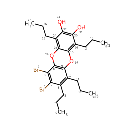 CCCc1c(Br)c(Br)c2c(c1CCC)Oc1c(CCC)c(O)c(O)c(CCC)c1O2